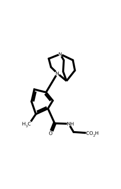 Cc1ccc(N2CCN3CCC2CC3)cc1C(=O)NCC(=O)O